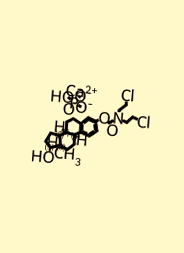 C[C@]12CC[C@@H]3c4ccc(OC(=O)N(CCCl)CCCl)cc4CC[C@H]3[C@@H]1CC[C@@H]2O.O=P([O-])([O-])O.[Ca+2]